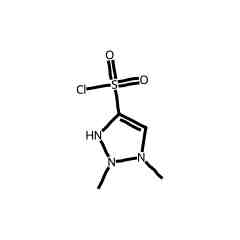 CN1C=C(S(=O)(=O)Cl)NN1C